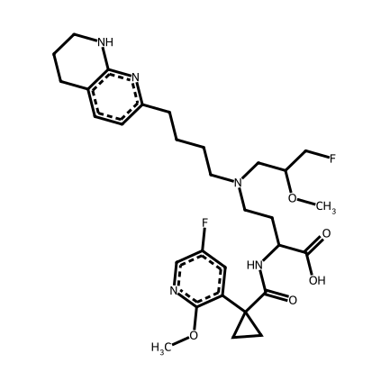 COc1ncc(F)cc1C1(C(=O)NC(CCN(CCCCc2ccc3c(n2)NCCC3)CC(CF)OC)C(=O)O)CC1